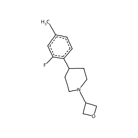 Cc1ccc(C2CCN(C3COC3)CC2)c(F)c1